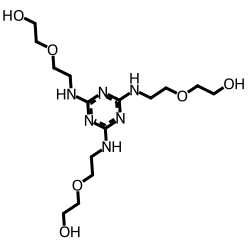 OCCOCCNc1nc(NCCOCCO)nc(NCCOCCO)n1